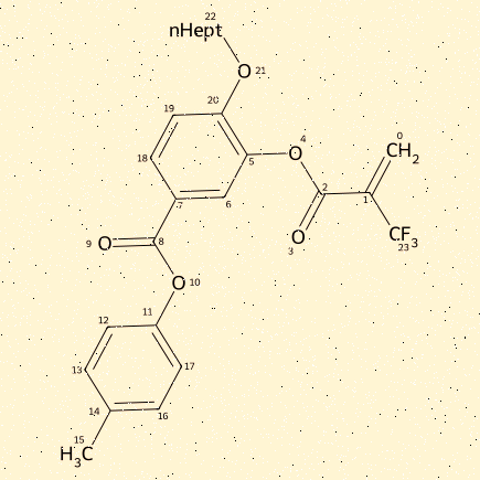 C=C(C(=O)Oc1cc(C(=O)Oc2ccc(C)cc2)ccc1OCCCCCCC)C(F)(F)F